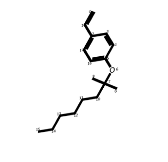 C=Cc1ccc(OC(C)(C)CCCCCC)cc1